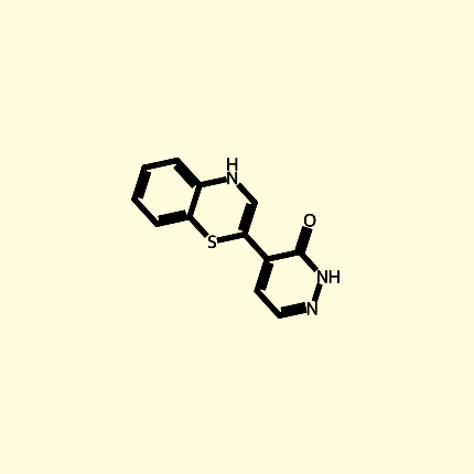 O=c1[nH]nccc1C1=CNc2ccccc2S1